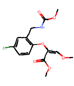 CO/C=C(/Oc1ccc(Cl)cc1CNC(=O)OC)C(=O)OC